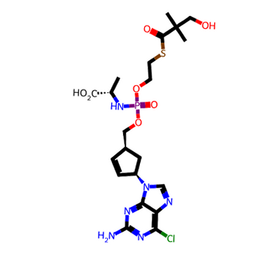 C[C@H](NP(=O)(OCCSC(=O)C(C)(C)CO)OC[C@@H]1C=C[C@H](n2cnc3c(Cl)nc(N)nc32)C1)C(=O)O